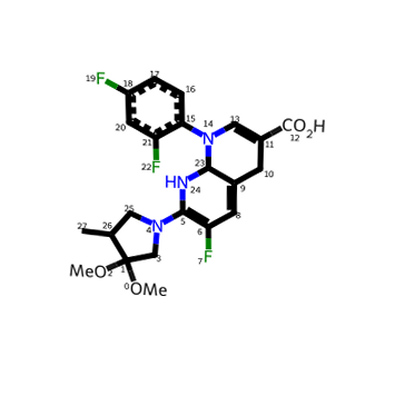 COC1(OC)CN(C2=C(F)C=C3CC(C(=O)O)=CN(c4ccc(F)cc4F)C3N2)CC1C